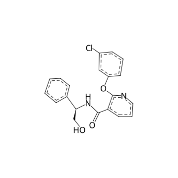 O=C(N[C@@H](CO)c1ccccc1)c1cccnc1Oc1cccc(Cl)c1